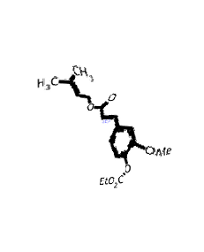 CCOC(=O)Oc1ccc(/C=C/C(=O)OCC=C(C)C)cc1OC